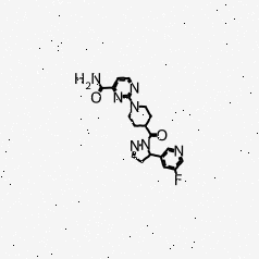 NC(=O)c1ccnc(N2CCC(C(=O)N3N=CCC3c3cncc(F)c3)CC2)n1